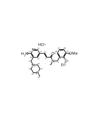 CCOc1c(CN(C)C(=O)/C=C/c2cnc(N)c(CN3CCN(C)CC3)c2)cccc1OC.Cl